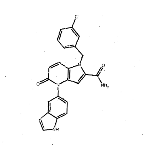 NC(=O)c1cc2c(ccc(=O)n2-c2ccc3[nH]ccc3c2)n1Cc1cccc(Cl)c1